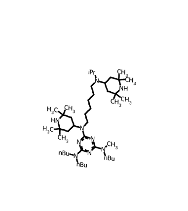 CCCCN(C)c1nc(N(CCCC)CCCC)nc(N(CCCCCCN(C(C)C)C2CC(C)(C)NC(C)(C)C2)C2CC(C)(C)NC(C)(C)C2)n1